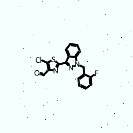 O=Cc1nc(-c2nn(Cc3ccccc3F)c3ccccc23)sc1Cl